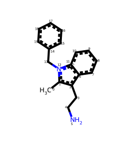 Cc1c(CCN)c2ccccc2n1Cc1ccccc1